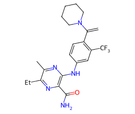 C=C(c1ccc(Nc2nc(C)c(CC)nc2C(N)=O)cc1C(F)(F)F)N1CCCCC1